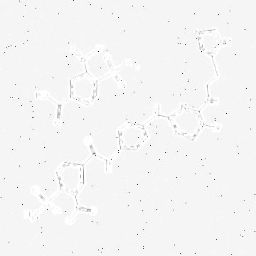 CS(=O)(=O)c1ccc(C(=O)Nc2ccc(Nc3ncc(Br)c(NCCc4cnc[nH]4)n3)cc2)cc1[N+](=O)[O-].CS(=O)(=O)c1ccc(C(=O)O)cc1[N+](=O)[O-]